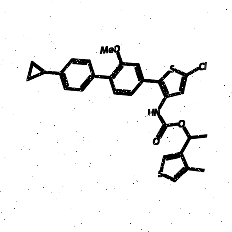 COc1cc(-c2sc(Cl)cc2NC(=O)OC(C)c2cscc2C)ccc1-c1ccc(C2CC2)cc1